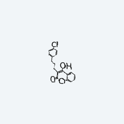 O=c1oc2ccccc2c(O)c1CCCc1ccc(Cl)cc1